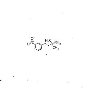 CC(C)(N)CCc1cccc([N+](=O)[O-])c1